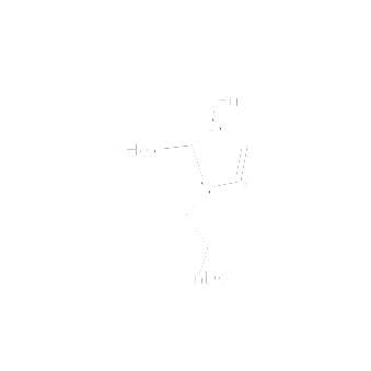 CCCCCCCCCCCCN1C=CN(CCCC)C1CCCCCC